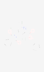 O=C(OCc1ccccc1)c1nc(Cl)c(Cl)c(N2C(=O)c3ccccc3C2=O)c1Cl